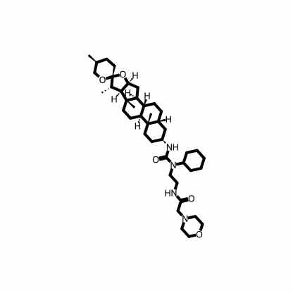 C[C@H]1CC[C@@]2(OC1)O[C@H]1C[C@H]3[C@@H]4CC[C@@H]5C[C@H](NC(=O)N(CCNC(=O)CN6CCOCC6)C6CCCCC6)CC[C@]5(C)[C@H]4CC[C@]3(C)[C@H]1[C@@H]2C